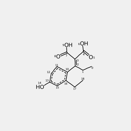 CCC(=C(C(=O)O)C(=O)O)c1ccc(O)cc1CC